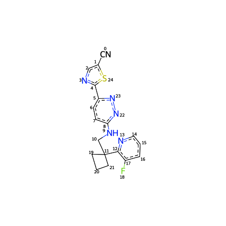 N#Cc1cnc(-c2ccc(NCC3(c4ncccc4F)CCC3)nn2)s1